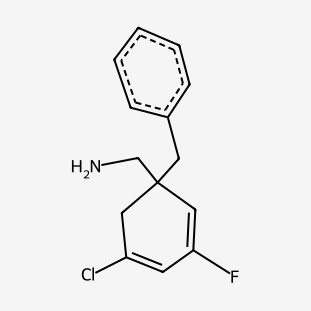 NCC1(Cc2ccccc2)C=C(F)C=C(Cl)C1